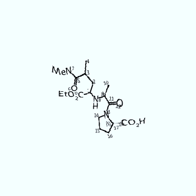 CCOC(=O)C(CC(C)C(=O)NC)N[C@@H](C)C(=O)N1CCC[C@H]1C(=O)O